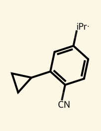 C[C](C)c1ccc(C#N)c(C2CC2)c1